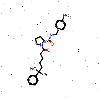 CC(C)C(C#N)(CCCCC(=O)N1CCC[C@@H]1C(=O)NCc1ccc([N+](=O)[O-])cc1)c1ccccc1